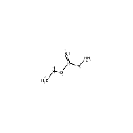 CNOC(=N)CN